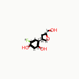 OC[C@H]1C[C@H](c2cc(F)c(O)cc2O)CO1